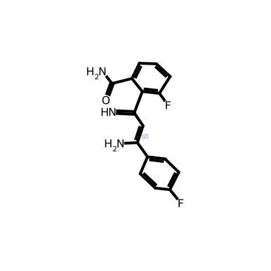 N=C(/C=C(\N)c1ccc(F)cc1)c1c(F)cccc1C(N)=O